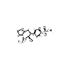 CNC(=O)C(CC1CCCO1)c1ccc(S(C)(=O)=O)cc1